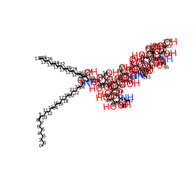 CCCCCCCC/C=C\CCCCCCCCCCCCCCCC(=O)N[C@@H](CO[C@@H]1OC(CO)[C@@H](O[C@@H]2OC(CO)[C@H](O[C@@H]3OC(CO)[C@H](O)[C@H](O)C3NC(C)=O)[C@H](O[C@H]3OC(CO)[C@H](O)[C@H](O[C@@H]4OC(CO)[C@@H](O[C@@H]5OC(CO)[C@H](O)[C@H](O[C@]6(C(=O)O)CC(O)[C@@H](NC(C)=O)C([C@H](O)[C@H](O)CO)O6)C5O)[C@H](O)C4NC(C)=O)C3O)C2O)[C@H](O)C1O)[C@H](O)/C=C/CCCCCCCCCCCCC